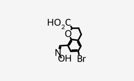 O=C(O)C1CCc2cc(Br)cc(/C=N\O)c2O1